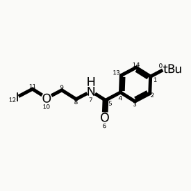 CC(C)(C)c1ccc(C(=O)NCCOCI)cc1